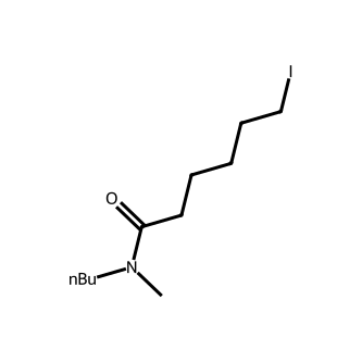 CCCCN(C)C(=O)CCCCCI